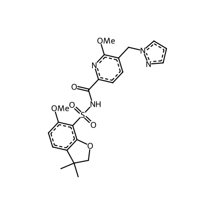 COc1ccc2c(c1S(=O)(=O)NC(=O)c1ccc(Cn3cccn3)c(OC)n1)OCC2(C)C